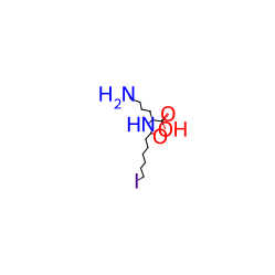 NCCCC[C@H](NC(=O)CCCCCCI)C(=O)O